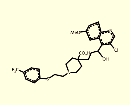 COc1ccc2ncc(Cl)c(C(O)CCC3(C(=O)O)CCN(CCSc4ccc(C(F)(F)F)cc4)CC3)c2c1